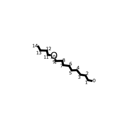 CCCCCCCCC[CH]OCCCC